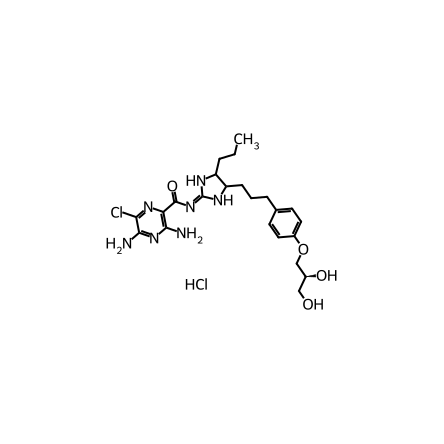 CCCC1N/C(=N\C(=O)c2nc(Cl)c(N)nc2N)NC1CCCc1ccc(OC[C@@H](O)CO)cc1.Cl